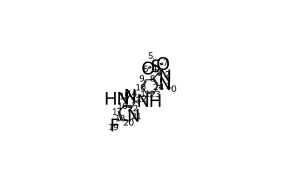 Cn1nc(S(C)(=O)=O)c2ccc(Nc3n[nH]c4cc(F)cnc34)cc21